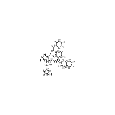 O=C(N[C@@H](Cc1c[nH]cn1)C(=O)NCCc1c[nH]cn1)C(Cc1cccc2ccccc12)Cc1cccc2ccccc12